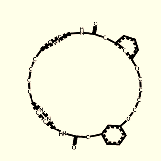 O=C1Cc2cccc(c2)OCCCCOc2cccc(c2)CC(=O)Nc2ccc(nn2)CCCCc2ccc(nn2)N1